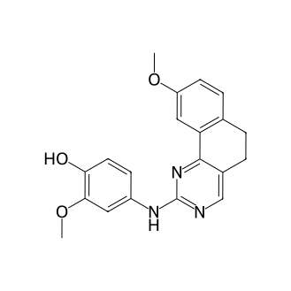 COc1ccc2c(c1)-c1nc(Nc3ccc(O)c(OC)c3)ncc1CC2